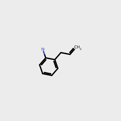 C=CCc1ccccc1[N]